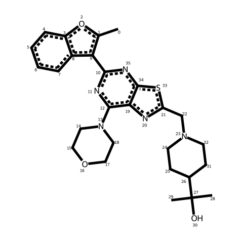 Cc1oc2ccccc2c1-c1nc(N2CCOCC2)c2nc(CN3CCC(C(C)(C)O)CC3)sc2n1